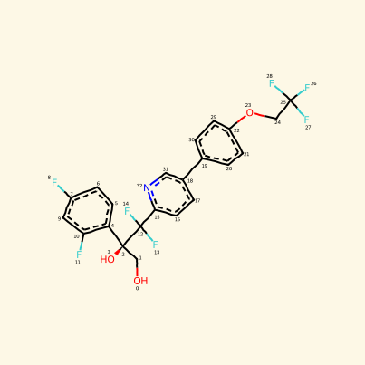 OC[C@](O)(c1ccc(F)cc1F)C(F)(F)c1ccc(-c2ccc(OCC(F)(F)F)cc2)cn1